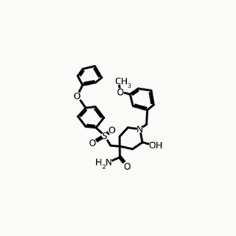 COc1cccc(CN2CCC(CS(=O)(=O)c3ccc(Oc4ccccc4)cc3)(C(N)=O)CC2O)c1